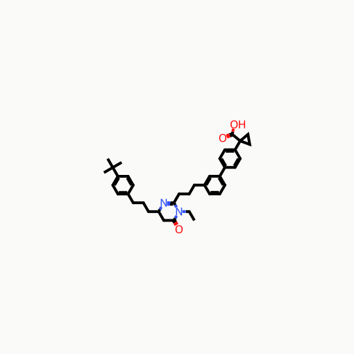 CCN1C(=O)CC(CCCc2ccc(C(C)(C)C)cc2)N=C1CCCc1cccc(-c2ccc(C3(C(=O)O)CC3)cc2)c1